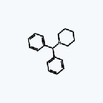 c1ccc([C](c2ccccc2)N2CCCCC2)cc1